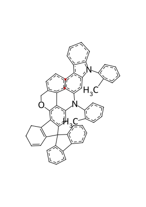 Cc1ccccc1N(c1ccc2c3ccccc3n(-c3ccccc3C)c2c1)c1cc2c(c3c1-c1ccccc1CO3)C1=C(C=CCC1)C21c2ccccc2-c2ccccc21